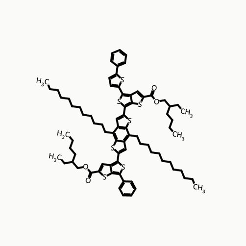 CCCCCCCCCCCCc1c2cc(-c3sc(-c4ccc(-c5ccccc5)s4)c4cc(C(=O)OCC(CC)CCCC)sc34)sc2c(CCCCCCCCCCCC)c2cc(-c3sc(-c4ccccc4)c4sc(C(=O)OCC(CC)CCCC)cc34)sc12